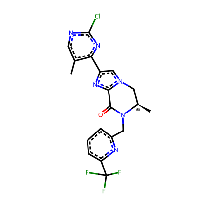 Cc1cnc(Cl)nc1-c1cn2c(n1)C(=O)N(Cc1cccc(C(F)(F)F)n1)[C@H](C)C2